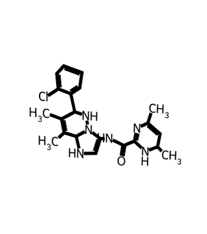 CC1=CC(C)NC(C(=O)NC2=CNC3C(C)=C(C)C(c4ccccc4Cl)NN23)=N1